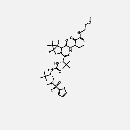 CCC(NC(=O)[C@@H]1[C@@H]2[C@H](CN1C(=O)[C@@H](NC(=O)N[C@H](CN(C)S(=O)(=O)c1cccs1)C(C)(C)C)C(C)(C)C)C2(C)C)C(=O)C(=O)NCCOC